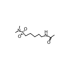 CC(=O)NCCCCCS(=O)(=O)N(C)C